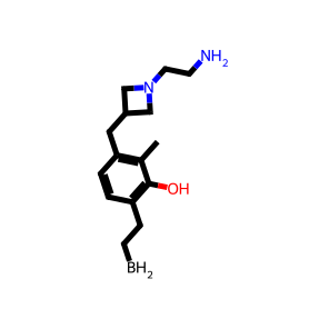 BCCc1ccc(CC2CN(CCN)C2)c(C)c1O